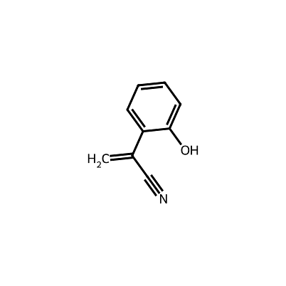 C=C(C#N)c1ccccc1O